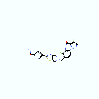 CNC(=O)c1ccc(C2=NC3CN(Cc4ccc5c([nH]c(=O)c6c(F)cnn65)c4F)CC3S2)cn1